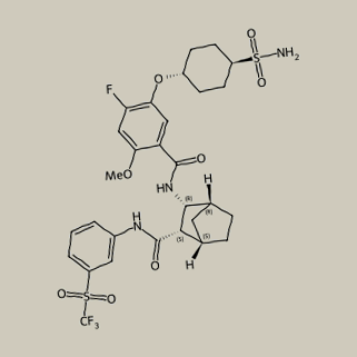 COc1cc(F)c(O[C@H]2CC[C@H](S(N)(=O)=O)CC2)cc1C(=O)N[C@@H]1[C@@H]2CC[C@@H](C2)[C@@H]1C(=O)Nc1cccc(S(=O)(=O)C(F)(F)F)c1